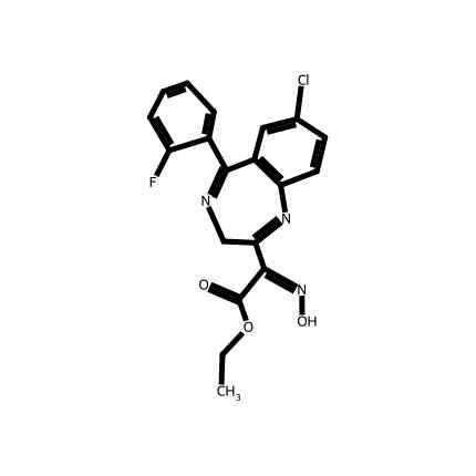 CCOC(=O)C(=NO)C1=Nc2ccc(Cl)cc2C(c2ccccc2F)=NC1